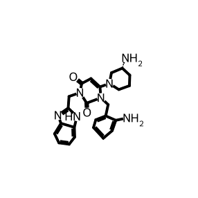 Nc1ccccc1Cn1c(N2CCC[C@@H](N)C2)cc(=O)n(Cc2nc3ccccc3[nH]2)c1=O